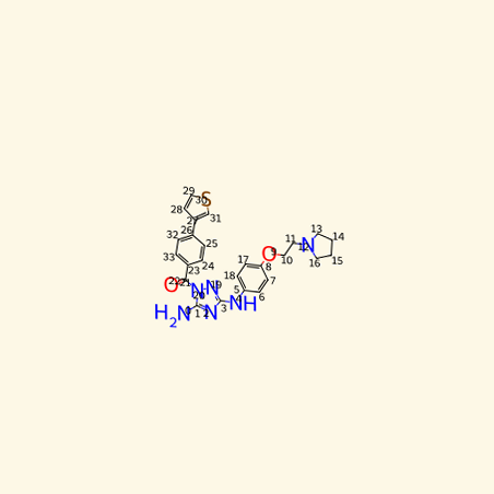 Nc1nc(Nc2ccc(OCCN3CCCC3)cc2)nn1C(=O)c1ccc(-c2ccsc2)cc1